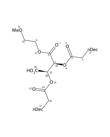 CCCCCCCCCCCC(=O)O[C@H](C(=O)OCCOC)[C@@H](OC(=O)CCCCCCCCCCC)C(=O)O